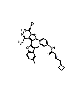 Cc1ccc2oc(-c3c4c(nn3-c3ccc(NC(=O)/C=C/CN5CCC5)cc3)C(=C=O)NN=C4N)c(C)c2c1